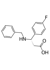 O=C(O)C[C@H](NCc1ccccc1)c1ccc(F)cc1